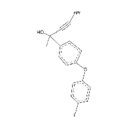 CCCC#CC(C)(O)c1ccc(Oc2ccc(F)cc2)cc1